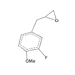 COc1ccc(CC2CO2)cc1F